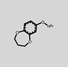 CCCOc1ccc2c(c1)OCCCO2